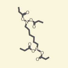 CCC(=O)ON(CCCCCCN(OC(=O)CC)OC(=O)CC)OC(=O)CC